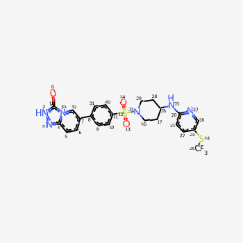 O=c1[nH]nc2ccc(-c3ccc(S(=O)(=O)N4CCC(Nc5ccc(SC(F)(F)F)cn5)CC4)cc3)cn12